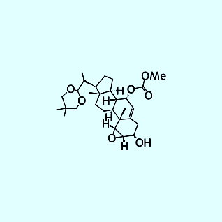 COC(=O)O[C@@H]1C=C2C[C@@H](O)[C@@H]3O[C@@H]3[C@]2(C)[C@H]2CC[C@]3(C)[C@@H](C(C)C4OCC(C)(C)CO4)CC[C@H]3[C@H]12